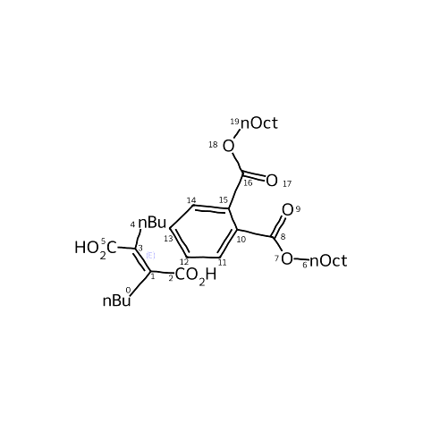 CCCC/C(C(=O)O)=C(/CCCC)C(=O)O.CCCCCCCCOC(=O)c1ccccc1C(=O)OCCCCCCCC